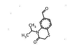 CC(C)N1C(=O)CSc2ccc(C=O)cc21